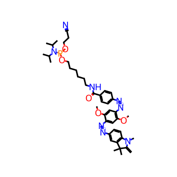 C=C1N(C)c2ccc(/N=N\c3cc(OC)c(/N=N\c4ccc(C(=O)NCCCCCCOP(OCCC#N)N(C(C)C)C(C)C)cc4)cc3OC)cc2C1(C)C